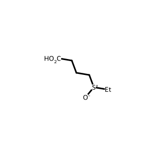 CC[S+]([O-])CCCC(=O)O